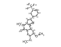 COc1cc2c(=O)n(C)c3cc(-c4ccnc(C(F)(F)F)c4)nn3c2cc1OC